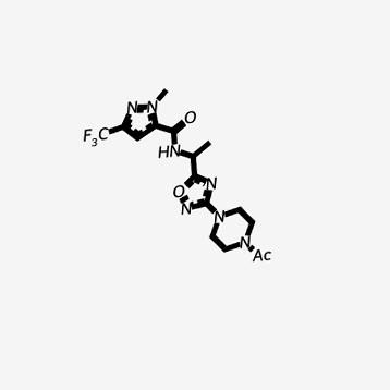 CC(=O)N1CCN(c2noc(C(C)NC(=O)c3cc(C(F)(F)F)nn3C)n2)CC1